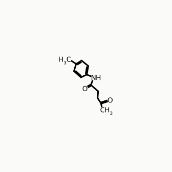 CC(=O)CCC(=O)Nc1ccc(C)cc1